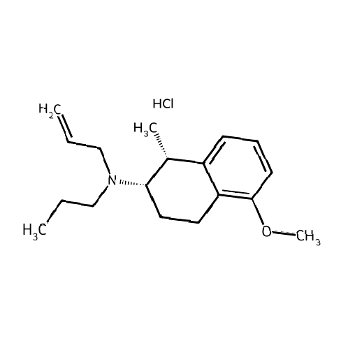 C=CCN(CCC)[C@H]1CCc2c(OC)cccc2[C@H]1C.Cl